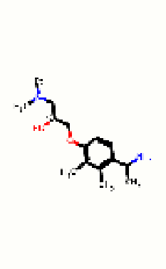 CCN(C)C[C@H](O)COc1ccc(C(C)N)c(C)c1C